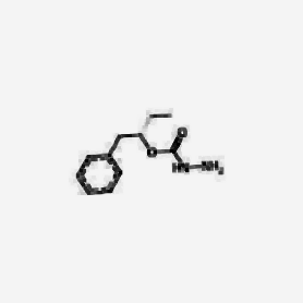 CC[C@@H](Cc1ccccc1)OC(=O)NN